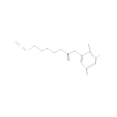 Cc1c(O)cc(O)cc1[C@@H](C)C(=O)CCCCCN=[N+]=[N-]